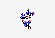 CC(C)Oc1cc(N2[C@H](C)COC[C@@H]2C)nc2c(-c3ccn[nH]3)nccc12.CC(C)Oc1cc(N2[C@H](C)COC[C@H]2C)nc2c(-c3ccn[nH]3)nccc12.c1cc(-c2nccc3c(C4CCOCC4)cc(N4CCOCC4)nc23)[nH]n1